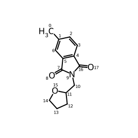 Cc1ccc2c(c1)C(=O)N(CC1CCCO1)C2=O